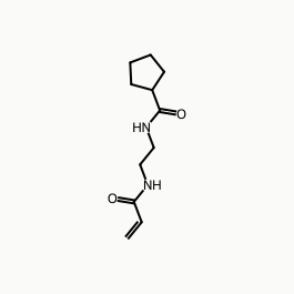 C=CC(=O)NCCNC(=O)C1CCCC1